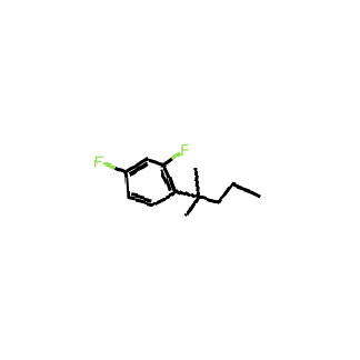 CCCC(C)(C)c1ccc(F)cc1F